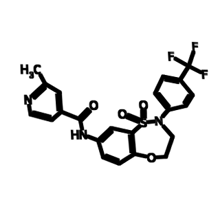 Cc1cc(C(=O)Nc2ccc3c(c2)S(=O)(=O)N(c2ccc(C(F)(F)F)cc2)CCO3)ccn1